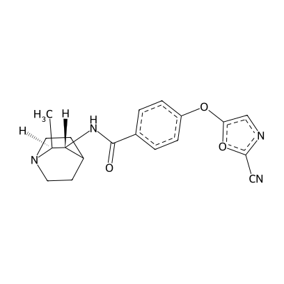 C[C@H]1[C@H](NC(=O)c2ccc(Oc3cnc(C#N)o3)cc2)C2CCN1CC2